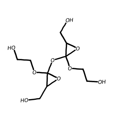 OCCOC1(OC2(OCCO)OC2CO)OC1CO